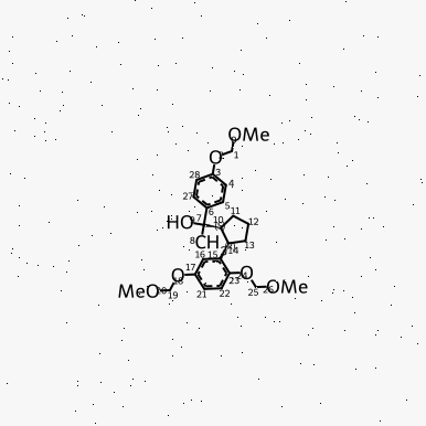 COCOc1ccc(C(C)(O)[C@H]2CCC[C@H]2c2cc(OCOC)ccc2OCOC)cc1